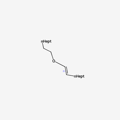 CCCCCCC/C=C/OCCCCCCCCC